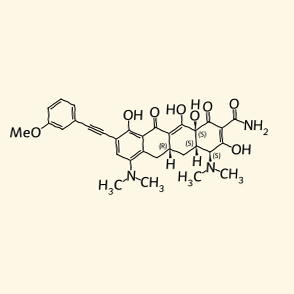 COc1cccc(C#Cc2cc(N(C)C)c3c(c2O)C(=O)C2=C(O)[C@]4(O)C(=O)C(C(N)=O)=C(O)[C@@H](N(C)C)[C@@H]4C[C@@H]2C3)c1